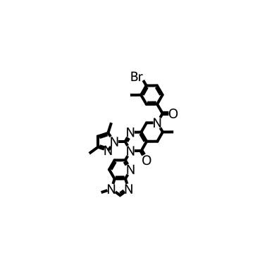 Cc1cc(C)n(-c2nc3c(c(=O)n2-c2ccc4c(ncn4C)n2)CC(C)N(C(=O)c2ccc(Br)c(C)c2)C3)n1